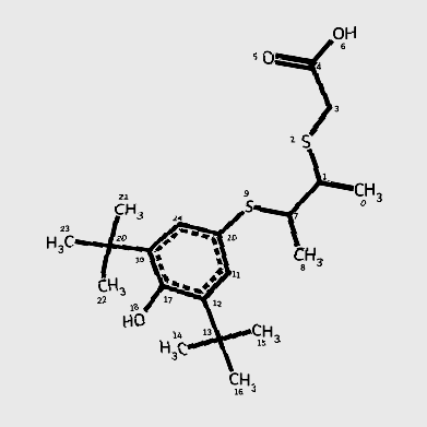 CC(SCC(=O)O)C(C)Sc1cc(C(C)(C)C)c(O)c(C(C)(C)C)c1